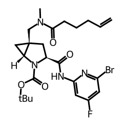 C=CCCCC(=O)N(C)C[C@@]12C[C@@H](C(=O)Nc3cc(F)cc(Br)n3)N(C(=O)OC(C)(C)C)[C@@H]1C2